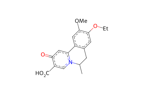 CCOc1cc2c(cc1OC)-c1cc(=O)c(C(=O)O)cn1C(C)C2